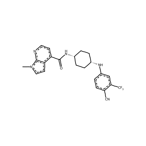 Cn1ccc2c(C(=O)N[C@H]3CC[C@@H](Nc4ccc(C#N)c(C(F)(F)F)c4)CC3)ccnc21